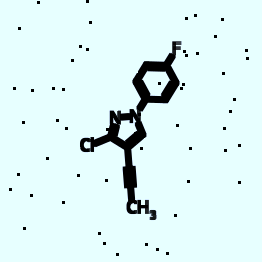 CC#Cc1cn(-c2ccc(F)cc2)nc1Cl